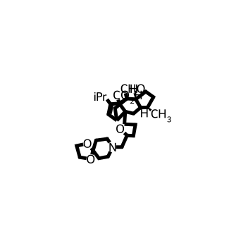 CC(C)C1=CC2CC3(C=O)[C@@H]4CC[C@@H](C)[C@H]4CC2(C2CCC(CN4CCC5(CC4)OCCO5)O2)C13C(=O)O